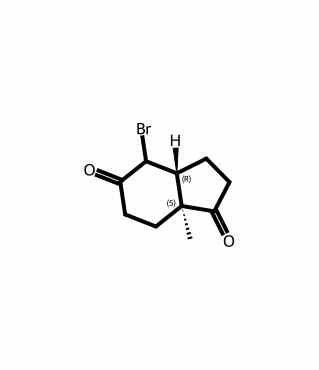 C[C@]12CCC(=O)C(Br)[C@@H]1CCC2=O